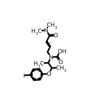 CC(Oc1ccc(I)cc1)C(C)N(C/C=C/C(=O)N(C)C)C(=O)O